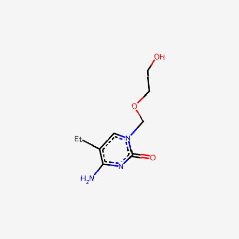 CCc1cn(COCCO)c(=O)nc1N